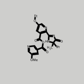 CCOc1cnc(C2=NC(=O)C(C)(C(C)C)N2)c(C(=O)OC(=O)c2cncc(OC)c2)c1